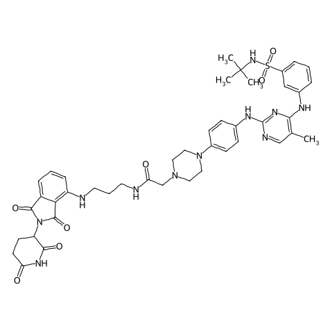 Cc1cnc(Nc2ccc(N3CCN(CC(=O)NCCCNc4cccc5c4C(=O)N(C4CCC(=O)NC4=O)C5=O)CC3)cc2)nc1Nc1cccc(S(=O)(=O)NC(C)(C)C)c1